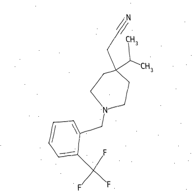 CC(C)C1(CC#N)CCN(Cc2ccccc2C(F)(F)F)CC1